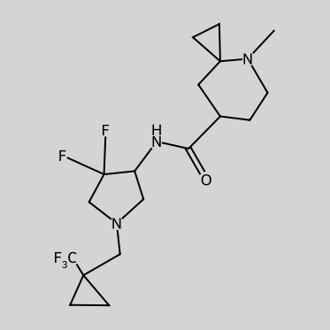 CN1CCC(C(=O)NC2CN(CC3(C(F)(F)F)CC3)CC2(F)F)CC12CC2